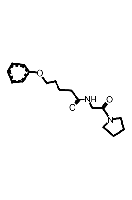 O=C(CCCCOc1ccccc1)NCC(=O)N1CCCC1